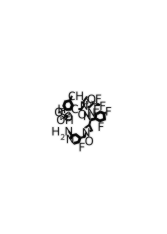 CC(=O)N1CCO[C@@H](C(F)(F)F)C1n1nc(C2CN(C(=O)c3cc(N)ncc3F)C2)c2c(F)cc(F)cc21.Cc1ccc(S(=O)(=O)O)cc1